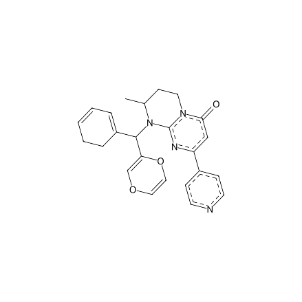 CC1CCn2c(nc(-c3ccncc3)cc2=O)N1C(C1=CC=CCC1)C1=COC=CO1